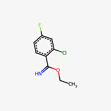 CCOC(=N)c1ccc(F)cc1Cl